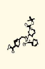 COC(=O)c1ccc(CN(C2CCCN(C(=O)OC(C)(C)C)C2)[S+]([O-])c2ccccc2)cc1